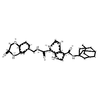 CC12CC3CC(C1)CC(NC(=O)c1c[nH]c4c(C(=O)NCc5ccc6c(c5)NC(=O)CO6)ncnc14)(C3)C2